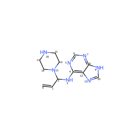 C=CC(Nc1ncnc2[nH]cnc12)N1CCNCC1